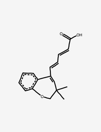 CC1(C)C=C(C=CC=CC(=O)O)c2ccccc2OC1